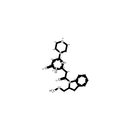 COCC1Cc2ccccc2N1C(=O)Cc1nc(N2CCOCC2)cc(=O)[nH]1